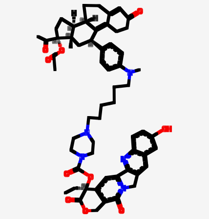 CC[C@@]1(OC(=O)N2CCN(CCCCCCN(C)c3ccc([C@H]4C[C@@]5(C)[C@@H](CC[C@]5(OC(C)=O)C(C)=O)[C@@H]5CCC6=CC(=O)CCC6=C54)cc3)CC2)C(=O)OCc2c1cc1n(c2=O)Cc2cc3cc(O)ccc3nc2-1